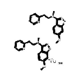 COc1ccc2c(N(C)CCc3ccccn3)noc2c1.COc1ccc2c(N(C)CCc3ccccn3)noc2c1.Cl.Cl.O